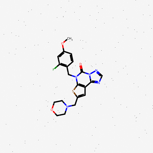 COc1ccc(Cn2c(=O)n3ncnc3c3cc(CN4CCOCC4)sc32)c(F)c1